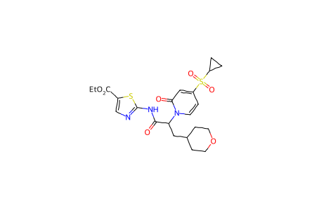 CCOC(=O)c1cnc(NC(=O)C(CC2CCOCC2)n2ccc(S(=O)(=O)C3CC3)cc2=O)s1